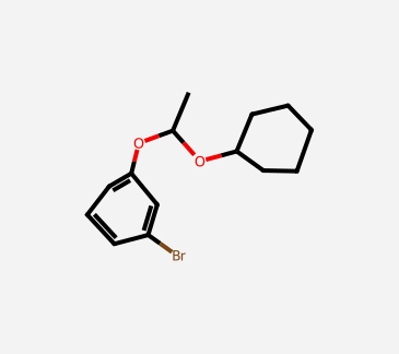 CC(Oc1cccc(Br)c1)OC1CCCCC1